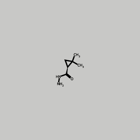 CC1(C)C[C@@H]1C(=O)NN